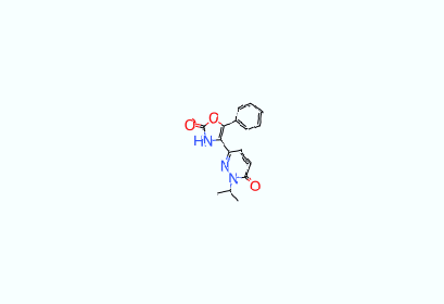 CC(C)n1nc(-c2[nH]c(=O)oc2-c2ccccc2)ccc1=O